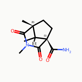 CCC1(C)[C@]2(C(N)=O)CC[C@@]1(C)C(=O)N(C)C2=O